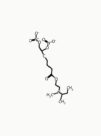 CCC(C)N(C)CCOC(=O)CCCCC(CO[N+](=O)[O-])O[N+](=O)[O-]